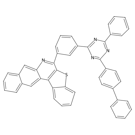 c1ccc(-c2ccc(-c3nc(-c4ccccc4)nc(-c4cccc(-c5nc6cc7ccccc7cc6c6c5sc5ccccc56)c4)n3)cc2)cc1